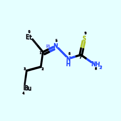 CC/C(CCC(C)CC)=N/NC(N)=S